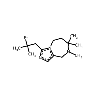 CCC(C)(C)Cc1ncc2n1CCC(C)(C)N(C)C2